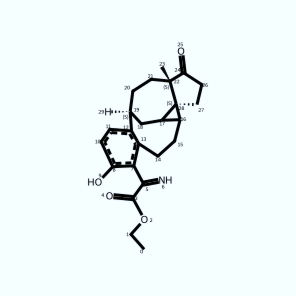 CCOC(=O)C(=N)c1c(O)ccc2c1CCC1C3C[C@@H]2CC[C@]2(C)C(=O)CC[C@]132